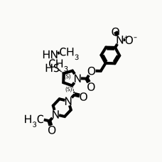 CC(=O)N1CCN(C(=O)[C@@H]2C[C@H](S)CN2C(=O)OCc2ccc([N+](=O)[O-])cc2)CC1.CNC